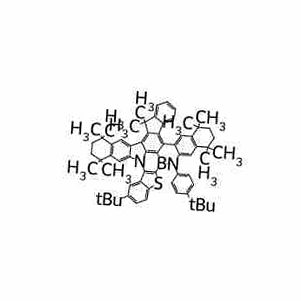 CC(C)(C)c1ccc(N2B3c4sc5ccc(C(C)(C)C)cc5c4-n4c5cc6c(cc5c5c7c(c(c3c54)-c3cc4c(cc32)C(C)(C)CCC4(C)C)-c2ccccc2C7(C)C)C(C)(C)CCC6(C)C)cc1